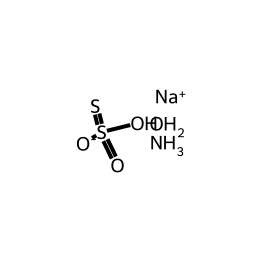 N.O.O=S([O-])(O)=S.[Na+]